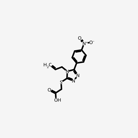 C=CCn1c(SCC(=O)O)nnc1-c1ccc([N+](=O)[O-])cc1